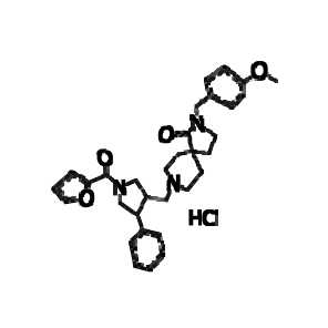 COc1ccc(CN2CCC3(CCN(CC4CN(C(=O)c5ccco5)CC4c4ccccc4)CC3)C2=O)cc1.Cl